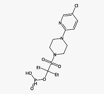 CCC(CC)(O[PH](=O)O)S(=O)(=O)N1CCN(c2ccc(Cl)cn2)CC1